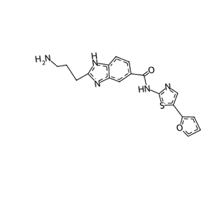 NCCCc1nc2cc(C(=O)Nc3ncc(-c4ccco4)s3)ccc2[nH]1